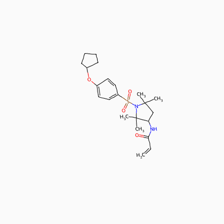 C=CC(=O)NC1CC(C)(C)N(S(=O)(=O)c2ccc(OC3CCCC3)cc2)C1(C)C